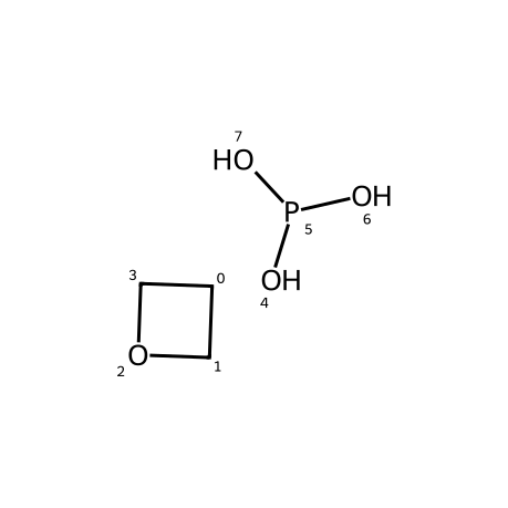 C1COC1.OP(O)O